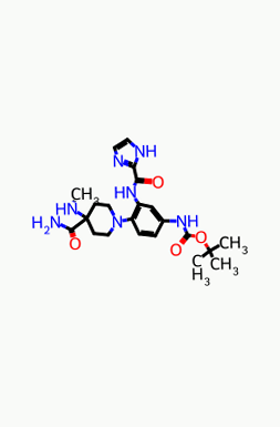 CNC1(C(N)=O)CCN(c2ccc(NC(=O)OC(C)(C)C)cc2NC(=O)c2ncc[nH]2)CC1